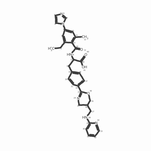 CCc1cc(-n2ccnc2)cc(C)c1C(=O)NC(Cc1ccc(C2=NCC(CNc3ccccn3)CO2)cc1)C(=O)O